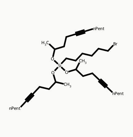 CCCCCC#CCCC(C)O[Si](CCCCCCBr)(OC(C)CCC#CCCCCC)OC(C)CCC#CCCCCC